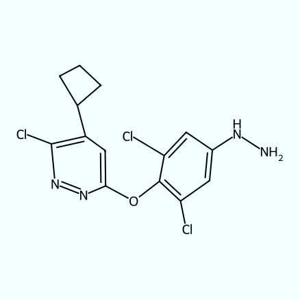 NNc1cc(Cl)c(Oc2cc(C3CCC3)c(Cl)nn2)c(Cl)c1